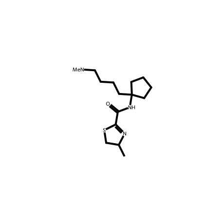 CNCCCCC1(NC(=O)C2=NC(C)CS2)CCCC1